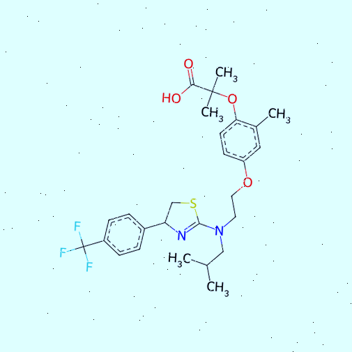 Cc1cc(OCCN(CC(C)C)C2=NC(c3ccc(C(F)(F)F)cc3)CS2)ccc1OC(C)(C)C(=O)O